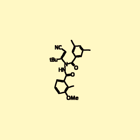 COc1cccc(C(=O)NN(C(=O)c2cc(C)cc(C)c2)/C(=C/C#N)C(C)(C)C)c1C